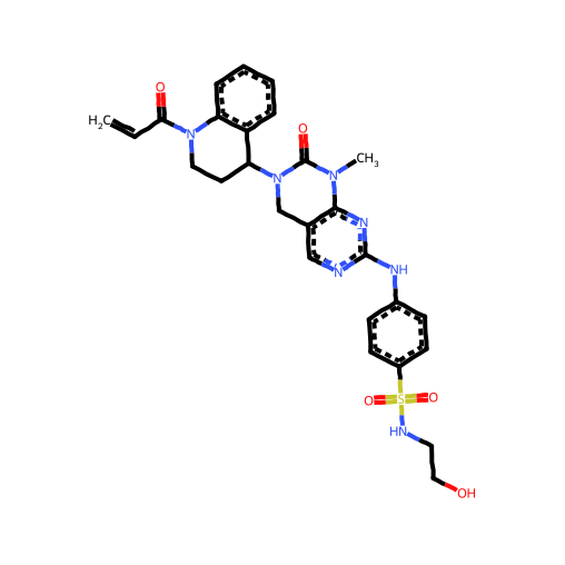 C=CC(=O)N1CCC(N2Cc3cnc(Nc4ccc(S(=O)(=O)NCCO)cc4)nc3N(C)C2=O)c2ccccc21